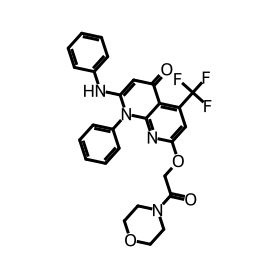 O=C(COc1cc(C(F)(F)F)c2c(=O)cc(Nc3ccccc3)n(-c3ccccc3)c2n1)N1CCOCC1